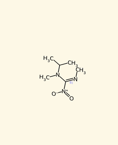 C/N=C(\N(C)C(C)C)[N+](=O)[O-]